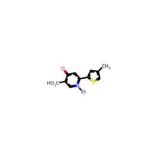 CCn1cc(C(=O)O)c(=O)cc1-c1cc(C)cs1